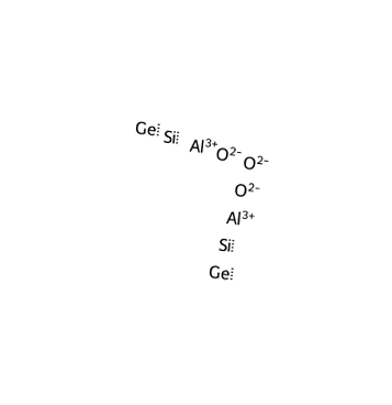 [Al+3].[Al+3].[Ge].[Ge].[O-2].[O-2].[O-2].[Si].[Si]